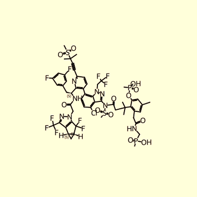 Cc1cc(CC(=O)NCP(C)(=O)O)c(C(C)(C)CC(=O)N(c2nn(CC(F)(F)F)c3c(-c4ccc(C#CC(C)(C)S(C)(=O)=O)nc4[C@H](Cc4cc(F)cc(F)c4)NC(=O)Cn4nc(C(F)(F)F)c5c4C(F)(F)[C@@H]4C[C@H]54)ccc(Cl)c23)S(C)(=O)=O)c(OP(C)(=O)O)c1